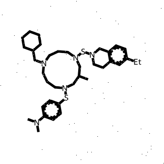 CCc1ccc2c(c1)CCN(SN1CCCN(CC3CCCCC3)CCCN(Sc3ccc(N(C)C)cc3)CC(C)C1)C2